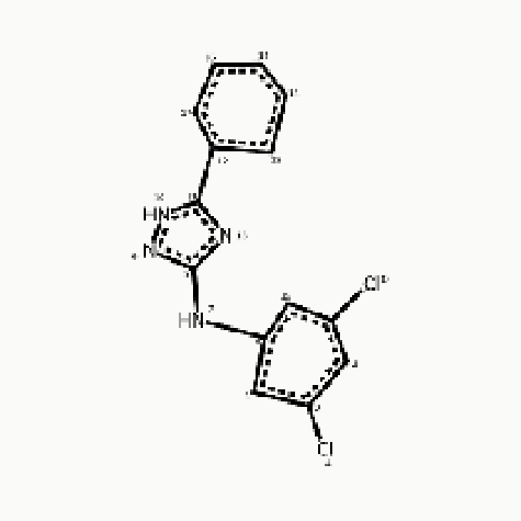 Clc1cc(Cl)cc(Nc2n[nH]c(-c3ccccc3)n2)c1